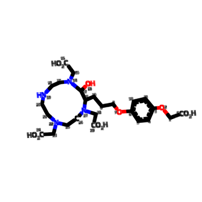 O=C(O)COc1ccc(OCCCC2C(O)N(CC(=O)O)CCNCCN(CC(=O)O)CCN2CC(=O)O)cc1